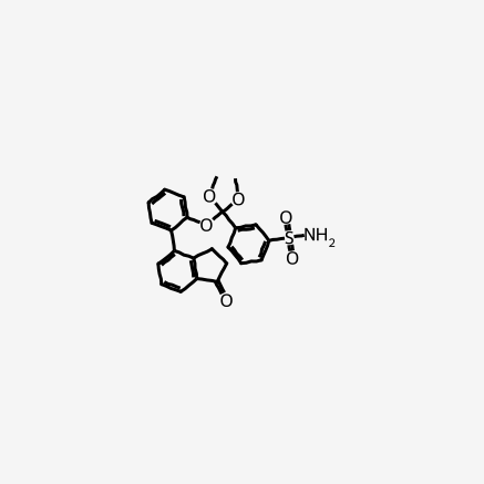 COC(OC)(Oc1ccccc1-c1cccc2c1CCC2=O)c1cccc(S(N)(=O)=O)c1